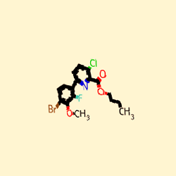 CCCCOC(=O)c1nc(-c2ccc(Br)c(OC)c2F)ccc1Cl